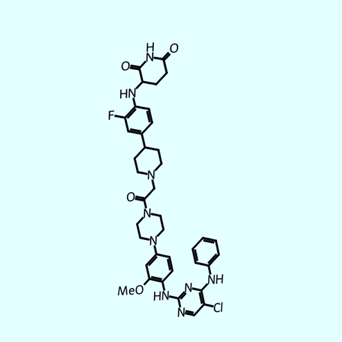 COc1cc(N2CCN(C(=O)CN3CCC(c4ccc(NC5CCC(=O)NC5=O)c(F)c4)CC3)CC2)ccc1Nc1ncc(Cl)c(Nc2ccccc2)n1